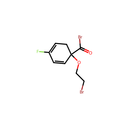 O=C(Br)C1(OCCBr)C=CC(F)=CC1